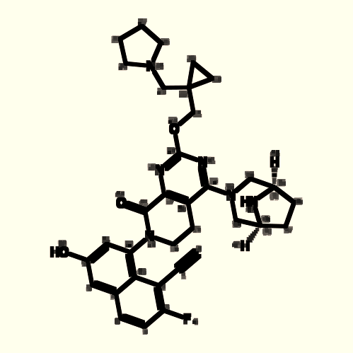 C#Cc1c(F)ccc2cc(O)cc(N3CCc4c(nc(OCC5(CN6CCCC6)CC5)nc4N4C[C@H]5CC[C@@H](C4)N5)C3=O)c12